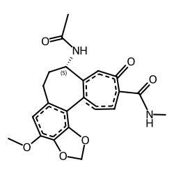 CNC(=O)c1ccc2c(cc1=O)[C@@H](NC(C)=O)CCc1cc(OC)c3c(c1-2)OCO3